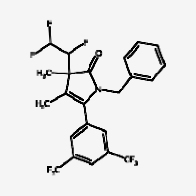 CC1=C(c2cc(C(F)(F)F)cc(C(F)(F)F)c2)N(Cc2ccccc2)C(=O)C1(C)C(F)C(F)F